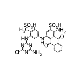 Cc1c(Nc2nc(N)nc(Cl)n2)cc(Nc2cc(S(=O)(=O)O)c(N)c3c2C(=O)c2ccccc2C3=O)cc1S(=O)(=O)O